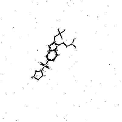 CN(C)CCn1c(CC(C)(C)C)nc2cc(S(=O)(=O)C3CCNC3)ccc21